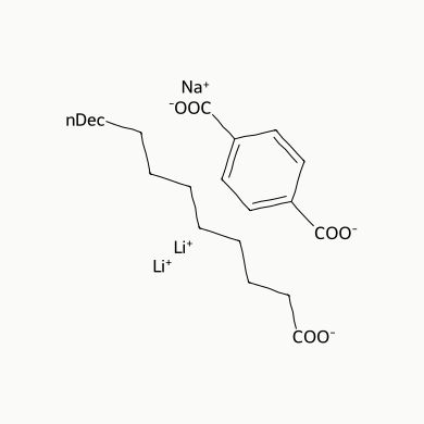 CCCCCCCCCCCCCCCCCC(=O)[O-].O=C([O-])c1ccc(C(=O)[O-])cc1.[Li+].[Li+].[Na+]